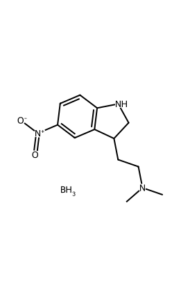 B.CN(C)CCC1CNc2ccc([N+](=O)[O-])cc21